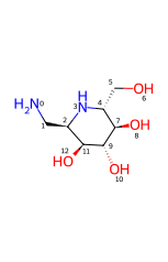 NC[C@H]1N[C@H](CO)[C@@H](O)[C@H](O)[C@H]1O